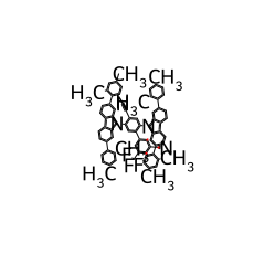 Cc1ccc(-c2ccc3c4ccc(-c5ccc(C)cc5C)cc4n(-c4cc(-c5cc(C#N)cc(C(F)(F)F)c5)c(-n5c6cc(-c7ccc(C)cc7C)ccc6c6ccc(-c7ccc(C)cc7C)cc65)cc4C#N)c3c2)c(C)c1